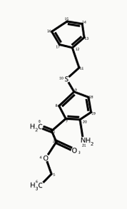 C=C(C(=O)OCC)c1cc(SCc2ccccc2)ccc1N